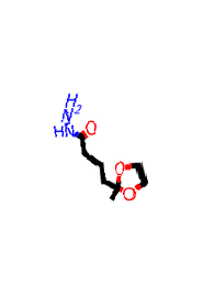 CC1(CCCC(=O)NN)OCCO1